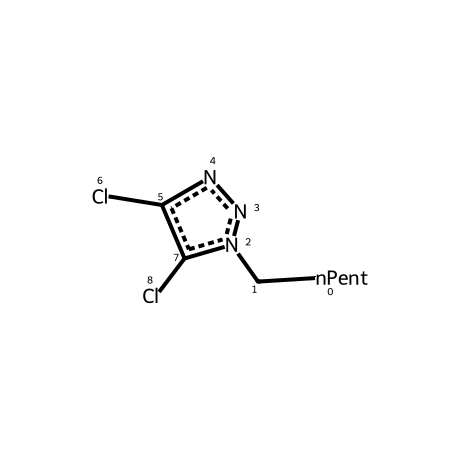 CCCCCCn1nnc(Cl)c1Cl